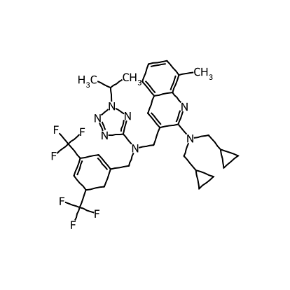 Cc1cccc2cc(CN(CC3=CC(C(F)(F)F)=CC(C(F)(F)F)C3)c3nnn(C(C)C)n3)c(N(CC3CC3)CC3CC3)nc12